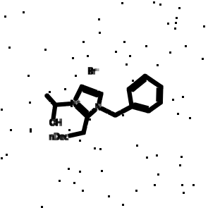 CCCCCCCCCCCc1n(Cc2ccccc2)cc[n+]1C(C)O.[Br-]